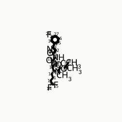 CN(C(=O)OC(C)(C)C)[C@@H](CCCC(F)F)COC(=O)Nc1cc(-c2cccc(F)c2)no1